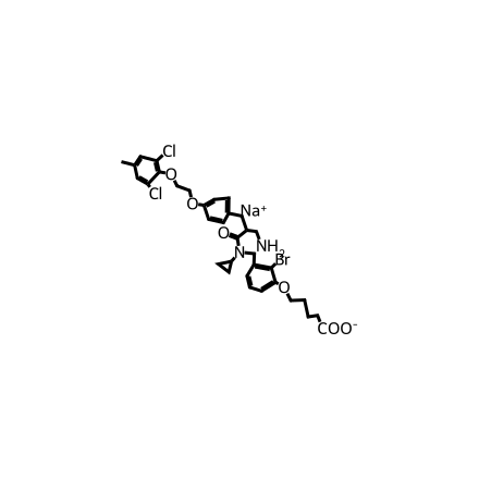 Cc1cc(Cl)c(OCCOc2ccc(CC(CN)C(=O)N(Cc3cccc(OCCCCC(=O)[O-])c3Br)C3CC3)cc2)c(Cl)c1.[Na+]